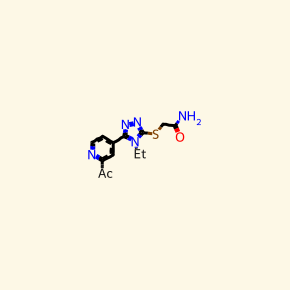 CCn1c(SCC(N)=O)nnc1-c1ccnc(C(C)=O)c1